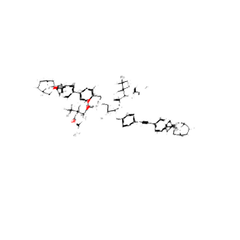 COC(=O)NC(C(=O)N[C@@H](Cc1ccc(C#Cc2ccc(N3CC4CCC(C3)N4C3COC3)nc2)cc1)[C@@H](O)CN(Cc1c(F)cc(-c2ccc(N3CC4CCC(C3)N4C3COC3)nc2)cc1F)NC(=O)[C@@H](NC(=O)OC)C(C)(C)C(F)(F)F)C(C)(C)C(F)(F)F